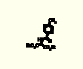 CCOC(=O)C(NC(=O)c1cnc(C)cn1)C(=O)OCC